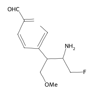 C=C(C=O)/C=C\C(=C/C)C(COC)C(N)CF